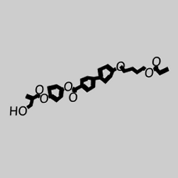 C=CC(=O)OCCCCOc1ccc(-c2ccc(C(=O)Oc3ccc(OC(=O)C(=C)CO)cc3)cc2)cc1